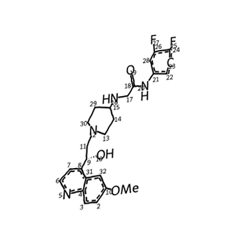 COc1ccc2nccc([C@@H](O)CN3CCC(NCC(=O)Nc4ccc(F)c(F)c4)CC3)c2c1